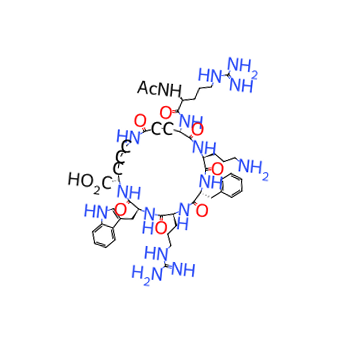 CC(=O)N[C@@H](CCCNC(=N)N)C(=O)N[C@H]1CCC(=O)NCCC[C@@H](C(=O)O)NC(=O)[C@H](Cc2c[nH]c3ccccc23)NC(=O)[C@H](CCCNC(=N)N)NC(=O)[C@@H](Cc2ccccc2)NC(=O)[C@H](CCCN)NC1=O